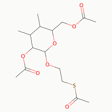 CC(=O)OCC1OC(OCCSC(C)=O)C(OC(C)=O)C(C)C1C